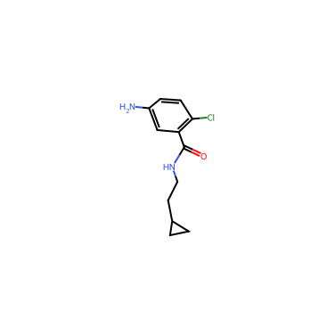 Nc1ccc(Cl)c(C(=O)NCCC2CC2)c1